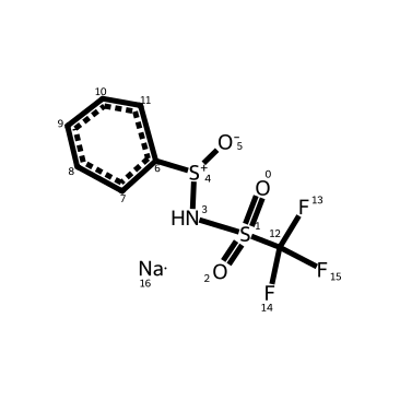 O=S(=O)(N[S+]([O-])c1ccccc1)C(F)(F)F.[Na]